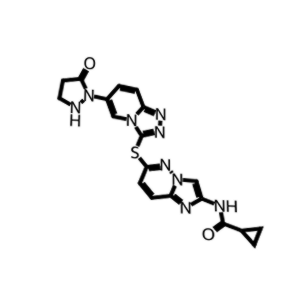 O=C(Nc1cn2nc(Sc3nnc4ccc(N5NCCC5=O)cn34)ccc2n1)C1CC1